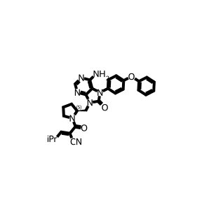 CC(C)C=C(C#N)C(=O)N1CCC[C@H]1Cn1c(=O)n(-c2ccc(Oc3ccccc3)cc2)c2c(N)ncnc21